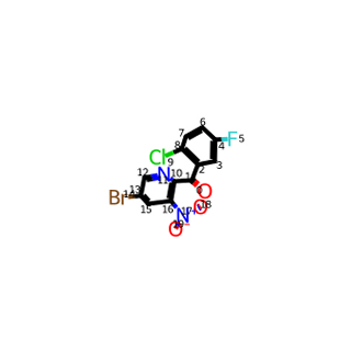 O=C(c1cc(F)ccc1Cl)c1ncc(Br)cc1[N+](=O)[O-]